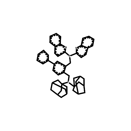 c1ccc(-c2ccc(CP(C34CC5CC(CC(C5)C3)C4)C34CC5CC(CC(C5)C3)C4)c(CP(c3ccc4ccccc4n3)c3ccc4ccccc4n3)c2)cc1